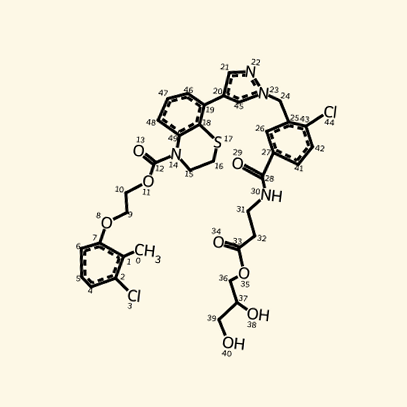 Cc1c(Cl)cccc1OCCOC(=O)N1CCSc2c(-c3cnn(Cc4cc(C(=O)NCCC(=O)OCC(O)CO)ccc4Cl)c3)cccc21